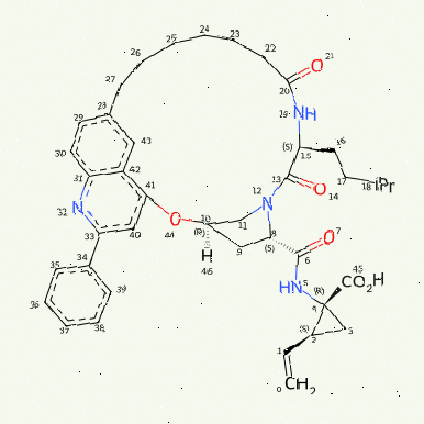 C=C[C@@H]1C[C@]1(NC(=O)[C@@H]1C[C@@H]2CN1C(=O)[C@H](CCC(C)C)NC(=O)CCCCCCc1ccc3nc(-c4ccccc4)cc(c3c1)O2)C(=O)O